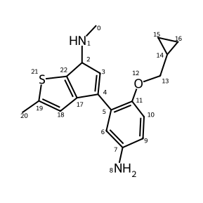 CNC1C=C(c2cc(N)ccc2OCC2CC2)c2cc(C)sc21